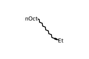 [CH2]CC#CCCCCCCCCCCCCCCCCC[CH2]